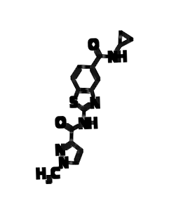 Cn1ccc(C(=O)Nc2nc3cc(C(=O)NC4CC4)ccc3s2)n1